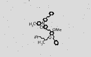 COc1cc(C=Cc2ccccc2)c(OCCC(C)CCCC(C)C)cc1C=Cc1ccc(N(c2ccc(C=Cc3ccccc3)cc2)c2ccc(C)cc2C)cc1